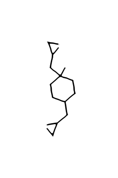 OC1(CC2CO2)CCC(CC2CO2)CC1